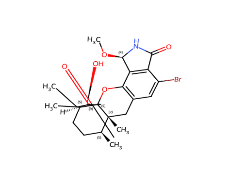 CO[C@H]1NC(=O)c2c(Br)cc3c(c21)O[C@@]12C[C@@H](O)C(=O)C(C)(C)[C@@H]1CC[C@H](C)[C@@]2(C)C3